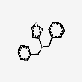 c1ccc(CN(Cc2ccccc2)c2ccsn2)cc1